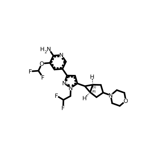 Nc1ncc(-c2cc(C3[C@H]4CC(N5CCOCC5)C[C@@H]34)n(CC(F)F)n2)cc1OC(F)F